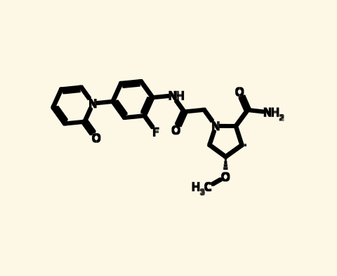 CO[C@H]1[CH]C(C(N)=O)N(CC(=O)Nc2ccc(-n3ccccc3=O)cc2F)C1